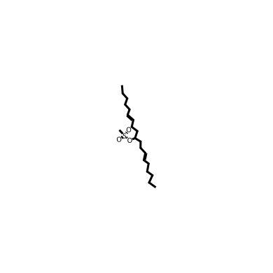 CCCCC/C=C/CCC(CC/C=C/CCCCC)OS(C)(=O)=O